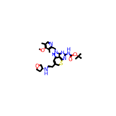 COc1c(C)cnc(Cn2nc3c4c(nc(NC(=O)OC(C)(C)C)nc42)SCC(CCN[C@@H]2CCOC2)=C3)c1C